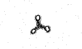 C1CCCC(=NOc2nc(ON=C3CCCCCCC3)nc(ON=C3CCCCCCC3)n2)CCC1